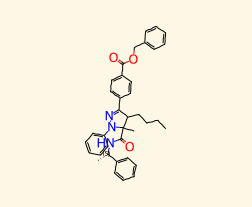 CCCCC1C(c2ccc(C(=O)OCc3ccccc3)cc2)=NN(c2ccccc2)C1(C)C(=O)N[C@@H](C)c1ccccc1